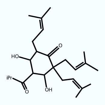 CC(C)=CCC1C(=O)C(CC=C(C)C)(CC=C(C)C)C(O)C(C(=O)C(C)C)C1O